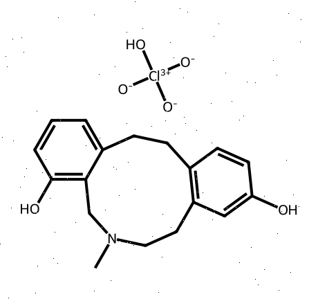 CN1CCc2cc(O)ccc2CCc2cccc(O)c2C1.[O-][Cl+3]([O-])([O-])O